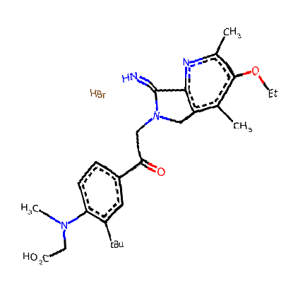 Br.CCOc1c(C)nc2c(c1C)CN(CC(=O)c1ccc(N(C)CC(=O)O)c(C(C)(C)C)c1)C2=N